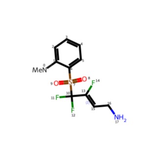 CNc1ccccc1S(=O)(=O)C(F)(F)/C(F)=C/CN